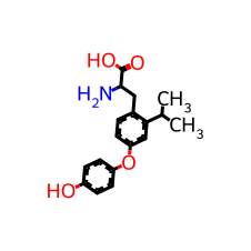 CC(C)c1cc(Oc2ccc(O)cc2)ccc1CC(N)C(=O)O